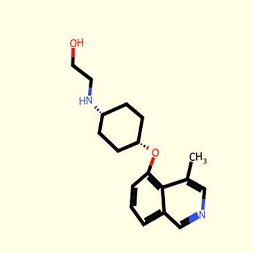 Cc1cncc2cccc(O[C@H]3CC[C@@H](NCCO)CC3)c12